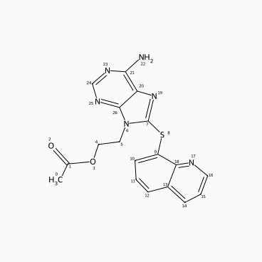 CC(=O)OCCn1c(Sc2cccc3cccnc23)nc2c(N)ncnc21